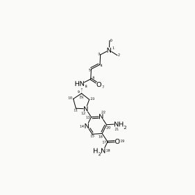 CN(C)CC=CC(=O)N[C@H]1CCN(c2ncc(C(N)=O)c(N)n2)C1